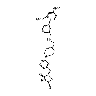 COc1ccc(-c2cccc(CNCC3CCN(c4nccc(C=C5SC(=O)NC5=O)n4)CC3)n2)c(OC)c1